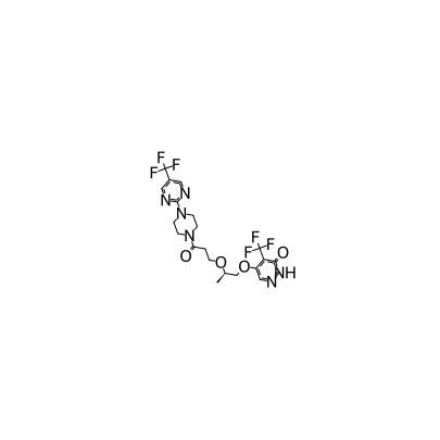 C[C@H](COc1cn[nH]c(=O)c1C(F)(F)F)OCCC(=O)N1CCN(c2ncc(C(F)(F)F)cn2)CC1